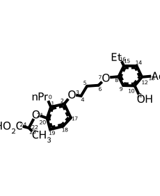 CCCc1c(OCCCOc2cc(O)c(C(C)=O)cc2CC)cccc1OC(C)C(=O)O